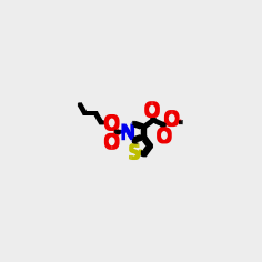 CCCCOC(=O)n1cc(C(=O)C(=O)OC)c2ccsc21